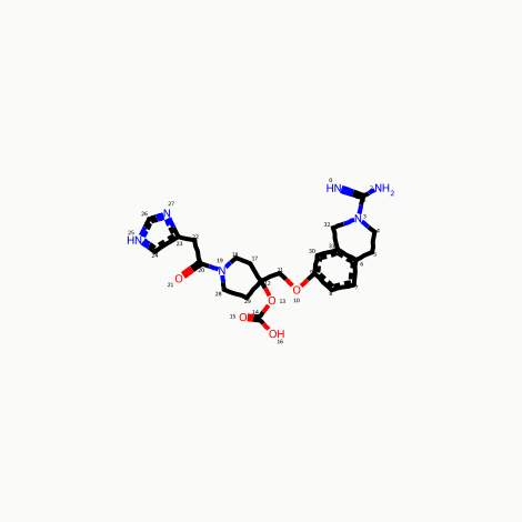 N=C(N)N1CCc2ccc(OCC3(OC(=O)O)CCN(C(=O)Cc4c[nH]cn4)CC3)cc2C1